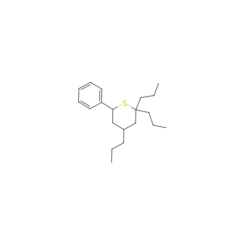 CCCC1CC(c2ccccc2)SC(CCC)(CCC)C1